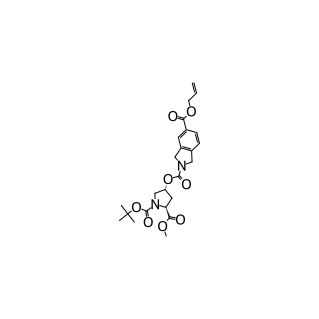 C=CCOC(=O)c1ccc2c(c1)CN(C(=O)O[C@@H]1C[C@@H](C(=O)OC)N(C(=O)OC(C)(C)C)C1)C2